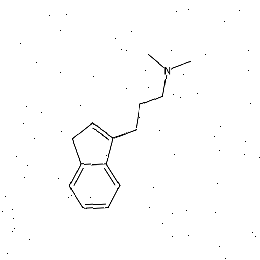 CN(C)CCCC1=CCc2ccccc21